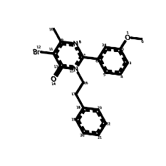 COc1cccc(-c2nc(C)c(Br)c(=O)n2CCc2ccccc2)c1